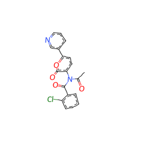 CC(=O)N(C(=O)c1ccccc1Cl)c1ccc(-c2cccnc2)oc1=O